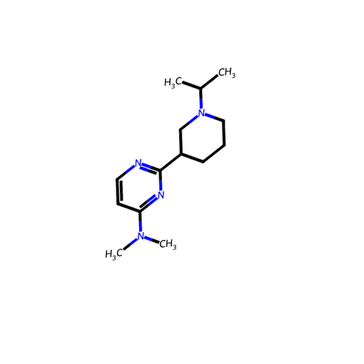 CC(C)N1CCCC(c2nccc(N(C)C)n2)C1